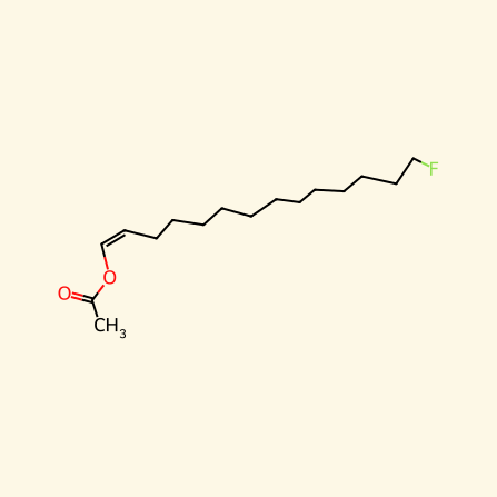 CC(=O)O/C=C\CCCCCCCCCCCCF